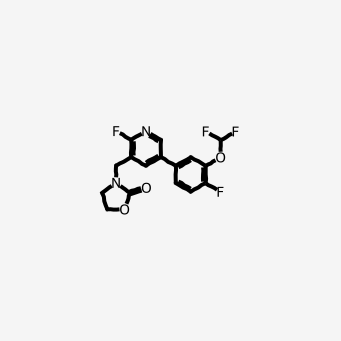 O=C1OCCN1Cc1cc(-c2ccc(F)c(OC(F)F)c2)cnc1F